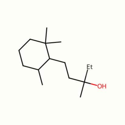 CCC(C)(O)CCC1C(C)CCCC1(C)C